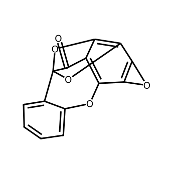 O=C1c2c3c4c(c5c2OC1(O5)c1ccccc1O3)O4